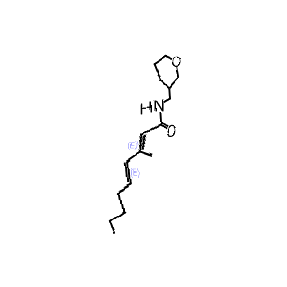 CCCC/C=C/C(C)=C/C(=O)NCC1CCCOC1